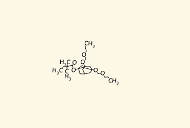 CCCOCOC12CC3CC(OCOCCC)(C1)CC(OC(=O)C(C)(C)CC)(C3)C2